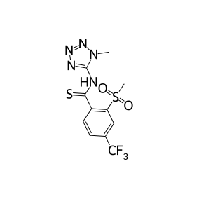 Cn1nnnc1NC(=S)c1ccc(C(F)(F)F)cc1S(C)(=O)=O